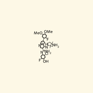 COc1cc(F)c(-c2cc3c(N[C@@H]4CC[C@](C)(N)C4(C)C)c(/C(N)=N/c4cc(F)c(O)cc4Cl)cnn3c2)cc1OC